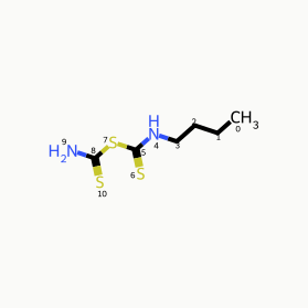 CCCCNC(=S)SC(N)=S